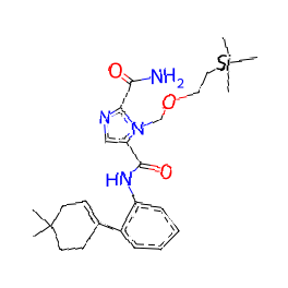 CC1(C)CC=C(c2ccccc2NC(=O)c2cnc(C(N)=O)n2COCC[Si](C)(C)C)CC1